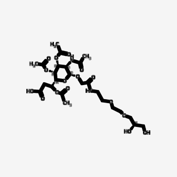 CC(=O)N[C@H]1[C@H](OCC(=O)NCCOCCOC[C@H](O)CO)O[C@H](C(CC(=O)O)OC(C)=O)[C@H](OC(C)=O)[C@@H]1OC(C)=O